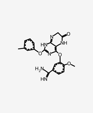 COc1ccc(C(=N)N)cc1OC1=C2NC(=O)CN=C2NC(Oc2cccc(C)c2)=N1